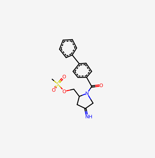 CS(=O)(=O)OCC1CC(=N)CN1C(=O)c1ccc(-c2ccccc2)cc1